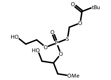 COCC(CO)OP(=O)(OCCO)SCOC(=O)C(C)(C)C